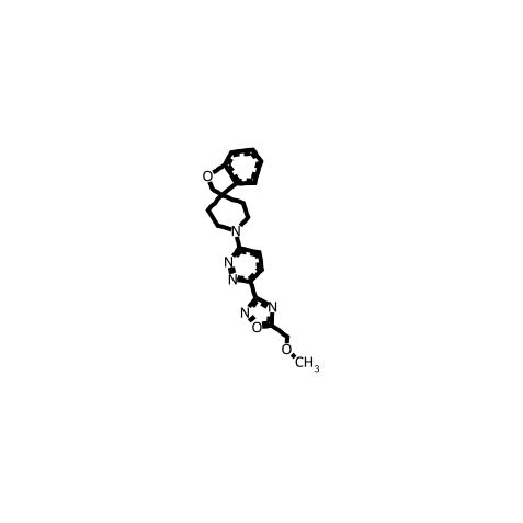 COCc1nc(-c2ccc(N3CCC4(CC3)COc3ccccc34)nn2)no1